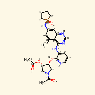 CC(=O)O[C@H]1CN(C(C)=O)C[C@@H]1Oc1ncccc1Nc1ncnc2cc(N=S3(=O)CCCC3)cc(C)c12